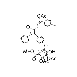 COC(=O)[C@H]1O[C@@H](Oc2ccc([C@@H]3C(CC[C@H](OC(C)=O)c4ccc(F)cc4)C(=O)N3c3ccccc3)cc2)[C@H](O)[C@@H](OC(C)=O)[C@@H]1OC(C)=O